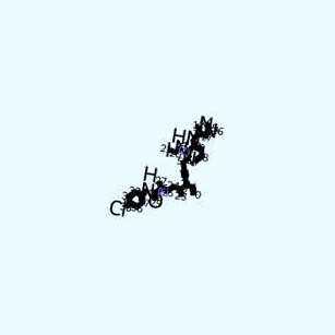 C=CC(C#CCn1cccc(Nc2cnn(C)c2)/c1=N/CI)C(C)C/C=C(\C)C(=O)Nc1ccc(Cl)cc1